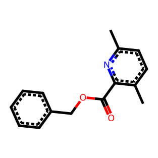 Cc1ccc(C)c(C(=O)OCc2ccccc2)n1